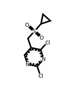 O=S(=O)(Cc1cnc(Cl)nc1Cl)C1CC1